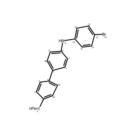 CCCCCc1ccc(-c2ccc(Nc3ccc(Br)cc3)cc2)cc1